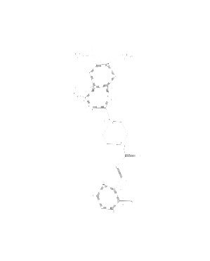 COc1cc2nc(N3CCN(C(=O)C=Cc4ccccc4C)CC3)nc(N)c2cc1OC